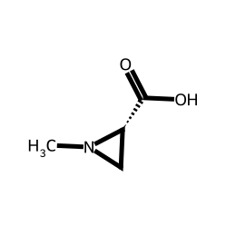 CN1C[C@H]1C(=O)O